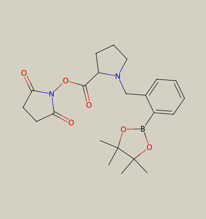 CC1(C)OB(c2ccccc2CN2CCCC2C(=O)ON2C(=O)CCC2=O)OC1(C)C